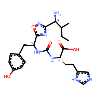 CCC(C)[C@H](N)c1noc([C@H](Cc2ccc(O)cc2)NC(=O)N[C@@H](CCc2cnc[nH]2)C(=O)O)n1